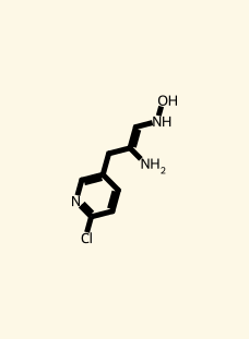 N/C(=C\NO)Cc1ccc(Cl)nc1